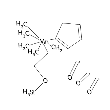 [CH3][Mn]([CH3])([CH3])([CH3])([CH3])([CH2]CO[SiH3])[C]1=CC=CC1.[C]=O.[C]=O.[C]=O